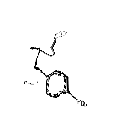 CCCCc1ccc(CC(C)CC(=O)[O-])cc1.[Cs+]